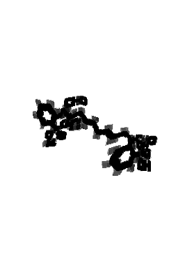 CCOP(=O)(OCC)c1ccccc1N(C=O)CCCCCCCCN(C=O)c1ccccc1P(=O)(O)O